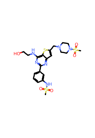 CS(=O)(=O)Nc1cccc(-c2nc(NCCO)c3sc(CN4CCN(S(C)(=O)=O)CC4)cc3n2)c1